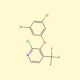 FC(F)(F)c1ccnc(Cl)c1Oc1cc(Cl)cc(Cl)c1